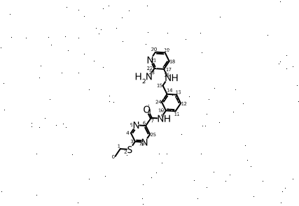 CCSc1cnc(C(=O)Nc2cccc(CNc3cccnc3N)c2)cn1